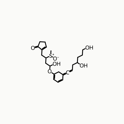 C[S+]([O-])C(CC1=CCCC1=O)CC(O)OC1=CC=CC(=C=CCC(O)CCCO)C1